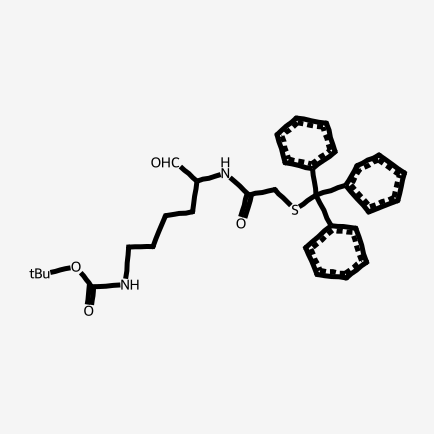 CC(C)(C)OC(=O)NCCCCC(C=O)NC(=O)CSC(c1ccccc1)(c1ccccc1)c1ccccc1